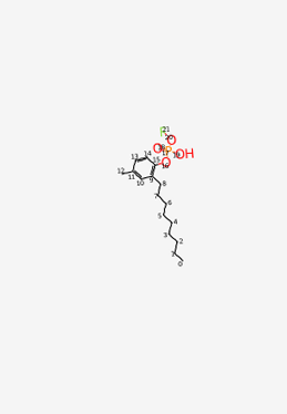 CCCCCCCCCc1cc(C)ccc1OP(=O)(O)OF